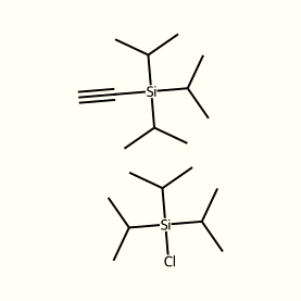 C#C[Si](C(C)C)(C(C)C)C(C)C.CC(C)[Si](Cl)(C(C)C)C(C)C